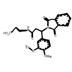 CCOc1cc(C(CC(=O)NCCC(=O)O)N2C(=O)c3ccccc3C2=O)ccc1OC